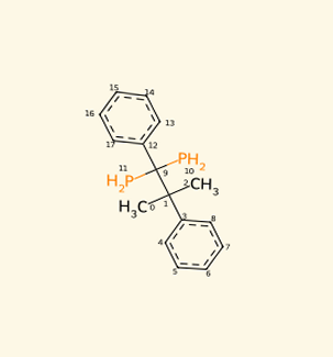 CC(C)(c1ccccc1)C(P)(P)c1ccccc1